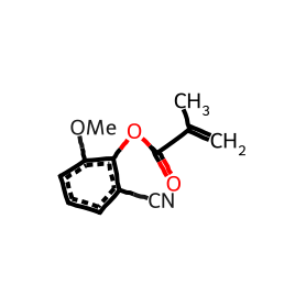 C=C(C)C(=O)Oc1c(C#N)cccc1OC